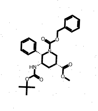 COC(=O)[C@@H]1C[C@H](NC(=O)OC(C)(C)C)[C@H](c2ccccc2)N(C(=O)OCc2ccccc2)C1